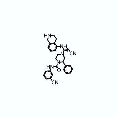 N#C/N=C(/Nc1cccc2c1CCNC2)N1CCN(C(=O)Nc2cccc(C#N)c2)C(c2ccccc2)C1